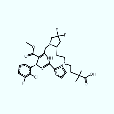 COC(=O)C1=C(CN2CC(F)(F)C[C@@H]2CCNCCC(C)(C)C(=O)O)NC(c2nccs2)=N[C@H]1c1cccc(F)c1Cl